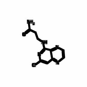 NC(=O)CCNc1nc(Cl)cc2nccnc12